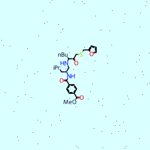 CCCCC(NCC(CC(C)C)NC(=O)c1ccc(C(=O)OC)cc1)C(=O)CSCc1ccco1